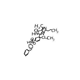 CCCc1nc(C)c2c(=O)[nH]c(-c3cc(S(=O)(=O)NC4CCN(Cc5ccccc5)CC4)ccc3OCC)nn12